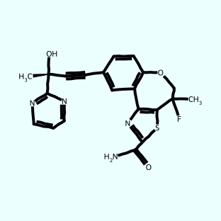 CC1(F)COc2ccc(C#C[C@@](C)(O)c3ncccn3)cc2-c2nc(C(N)=O)sc21